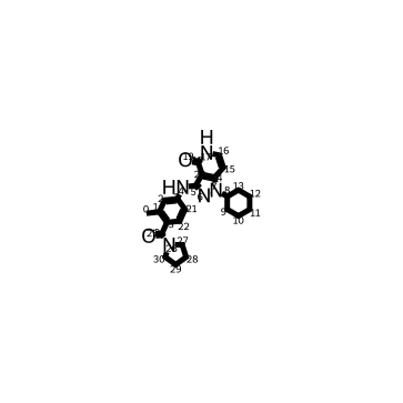 Cc1cc(Nc2nn(C3CCCCC3)c3cc[nH]c(=O)c23)ccc1C(=O)N1CCCC1